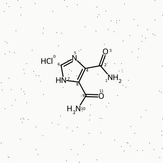 Cl.NC(=O)c1nc[nH]c1C(N)=O